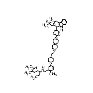 C=CC(CCC(=C)NC)NCc1cc(N2CCC(CCN3CCC4(CC3)CCN(c3ncc(C5c6[nH]c7ccccc7c6CCN5CC(C)(C)F)cn3)CC4)CC2)ccc1C